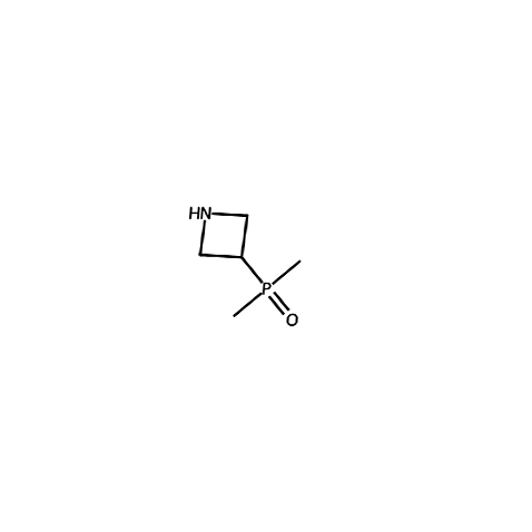 CP(C)(=O)C1CNC1